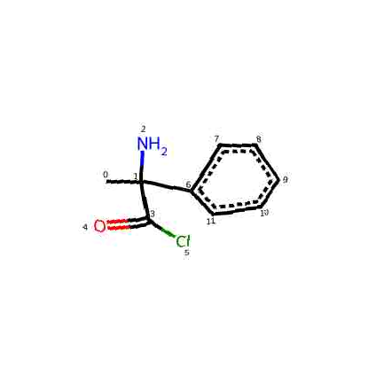 CC(N)(C(=O)Cl)c1ccccc1